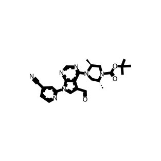 C[C@@H]1CN(c2ncnc3c2c(C=O)cn3-c2cc(C#N)ccn2)[C@@H](C)CN1C(=O)OC(C)(C)C